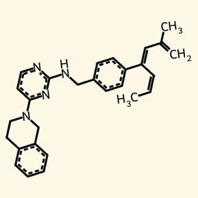 C=C(C)/C=C(\C=C/C)c1ccc(CNc2nccc(N3CCc4ccccc4C3)n2)cc1